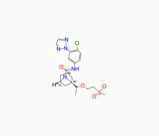 CC(OCCS(C)(=O)=O)[C@@]12C[C@@H](C)C[C@@H](C1)N2C(=O)Nc1ccc(Cl)c(-n2nccn2)c1